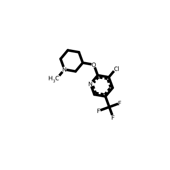 CN1CCCC(Oc2ncc(C(F)(F)F)cc2Cl)C1